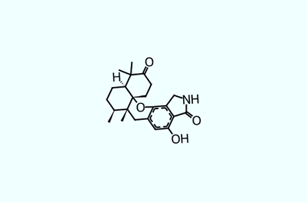 C[C@H]1CC[C@H]2C(C)(C)C(=O)CC[C@]23Oc2c(cc(O)c4c2CNC4=O)C[C@]13C